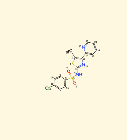 CCCc1sc(NS(=O)(=O)c2ccc(Cl)cc2)nc1-c1ccccn1